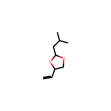 C=CC1COC(CC(C)C)O1